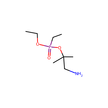 CCOP(=O)(CC)OC(C)(C)CN